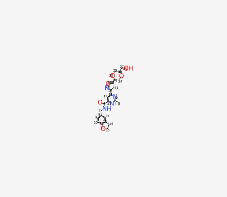 Cc1nc(C(=O)NCc2ccc3c(c2)CCO3)cc(C2=NO[C@H]([C@H]3CO[C@H](CO)CO3)C2)n1